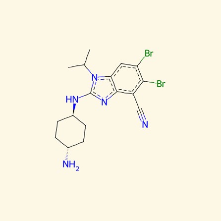 CC(C)n1c(N[C@H]2CC[C@H](N)CC2)nc2c(C#N)c(Br)c(Br)cc21